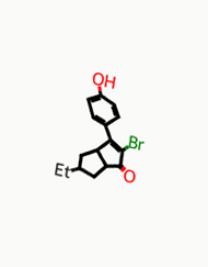 CCC1CC2C(=O)C(Br)=C(c3ccc(O)cc3)C2C1